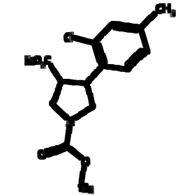 CCOC(=O)C1CN(C(=O)OC(C)(C)C)CC1c1ccc(C)cc1Cl